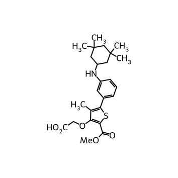 COC(=O)c1sc(-c2cccc(NC3CC(C)(C)CC(C)(C)C3)c2)c(C)c1OCC(=O)O